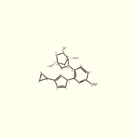 O=C([O-])c1cc(-n2cnc(C3CC3)c2)c(N2C[C@@H]3C[C@H]2CO3)cn1.[Li+]